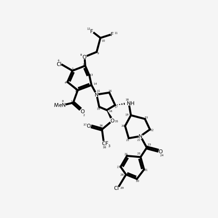 CNC(=O)c1cc(Cl)c(OCC(F)F)cc1N1C[C@H](NC2CCN(C(=O)c3ccc(Cl)cc3)CC2)[C@@H](OC(=O)C(F)(F)F)C1